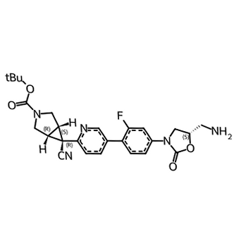 CC(C)(C)OC(=O)N1C[C@@H]2[C@H](C1)[C@]2(C#N)c1ccc(-c2ccc(N3C[C@H](CN)OC3=O)cc2F)cn1